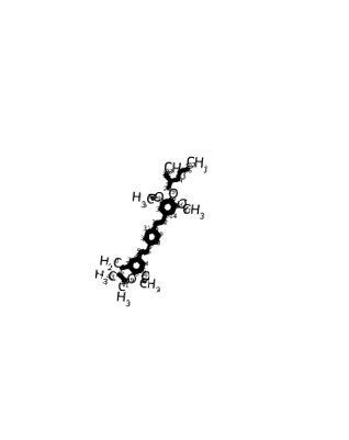 C=Cc1cc(/C=C/c2ccc(/C=C/c3cc(OC)c(OCC(CC)CCCC)c(OC)c3)cc2)cc(OC)c1OC(C)CC